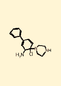 NC1C=C(c2ccccc2)C=CC1(Cl)N1CCNCC1